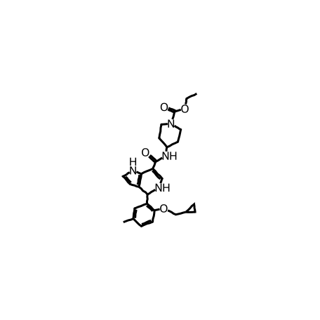 CCOC(=O)N1CCC(NC(=O)C2=CNC(c3cc(C)ccc3OCC3CC3)c3cc[nH]c32)CC1